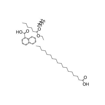 CCCCCC(=O)OCC.CCCCCCCCCCCCCCCCCC(=O)O.O=C(O)c1cccc2ccccc12.[Zn].[Zn].[Zn]